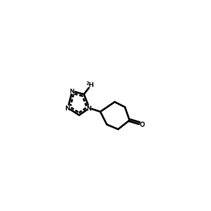 [2H]c1nncn1C1CCC(=O)CC1